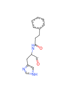 O=[C]C(Cc1c[nH]cn1)NC(=O)CCc1ccccc1